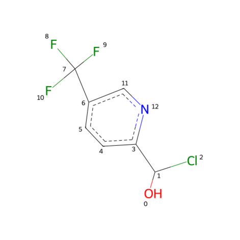 OC(Cl)c1ccc(C(F)(F)F)cn1